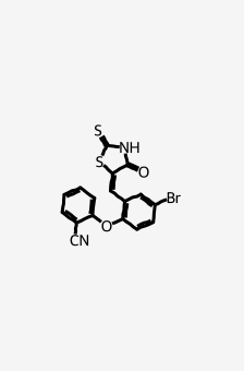 N#Cc1ccccc1Oc1ccc(Br)cc1C=C1SC(=S)NC1=O